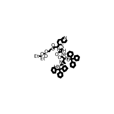 CCC(CC)OC(=O)OCCOC(=O)C1=C(/C=C\c2cccnc2)CS[C@H]2[C@H](NC(=O)C(=NOC(c3ccccc3)(c3ccccc3)c3ccccc3)c3csc(NC(c4ccccc4)(c4ccccc4)c4ccccc4)n3)C(=O)N12